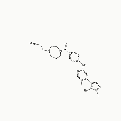 COCCN1CCCN(C(=O)c2ccc(Nc3ncc(F)c(-c4cnc(C)n4C(C)C)n3)cc2)CC1